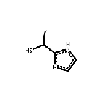 [CH2]C(S)c1ncc[nH]1